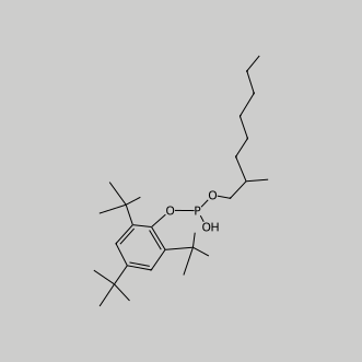 CCCCCCC(C)COP(O)Oc1c(C(C)(C)C)cc(C(C)(C)C)cc1C(C)(C)C